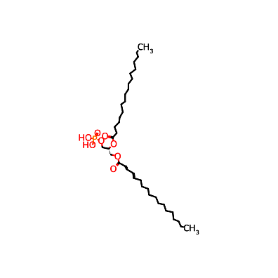 CCCCCCCCCCCCCC=CC=CC(=O)OC[C@H](COP(=O)(O)O)OC(=O)CCCCCCCCCCCCCCCCC